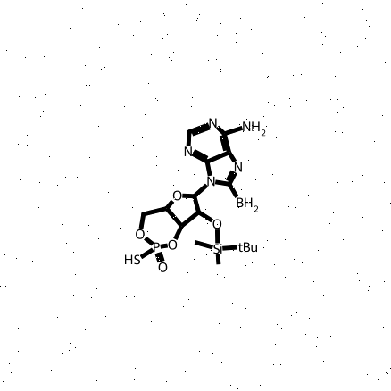 Bc1nc2c(N)ncnc2n1C1OC2COP(=O)(S)OC2C1O[Si](C)(C)C(C)(C)C